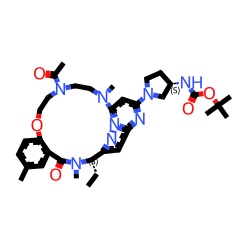 CC[C@H]1c2cc3nc(N4CC[C@H](NC(=O)OC(C)(C)C)C4)cc(n3n2)N(C)CCN(C(C)=O)CCOc2ccc(C)cc2C(=O)N1C